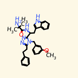 COc1cccc(Cn2c(CCc3ccccc3)nnc2C(Cc2c[nH]c3ccccc23)NC(=O)C(C)(C)N)c1